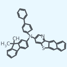 CC1(C)c2ccccc2-c2ccc(N(c3ccc(-c4ccccc4)cc3)c3cnc4c(c3)sc3cc5ccccc5cc34)cc21